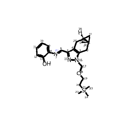 C[C@@]12Cc3c(c(/C=N/c4ccccc4O)nn3COCC[Si](C)(C)C)C[C@@H]1C2